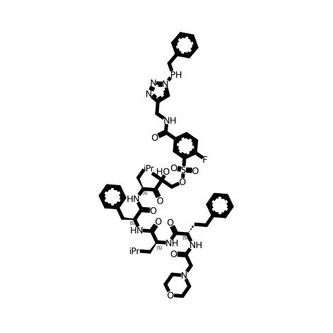 CC(C)C[C@H](NC(=O)[C@H](CCc1ccccc1)NC(=O)CN1CCOCC1)C(=O)N[C@@H](Cc1ccccc1)C(=O)N[C@@H](CC(C)C)C(=O)C(C)(O)COS(=O)(=O)c1cc(C(=O)NCc2cn(PCc3ccccc3)nn2)ccc1F